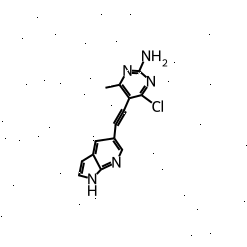 Cc1nc(N)nc(Cl)c1C#Cc1cnc2[nH]ccc2c1